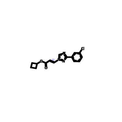 O=C(/C=C/n1cnc(-c2cccc(Cl)c2)n1)OC1CCC1